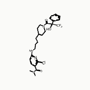 CN(C)C(=O)c1ccc(NCCCCC2CCN(C(=O)C(O)(c3ccccc3)C(F)(F)F)CC2)nc1Cl